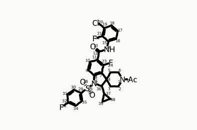 CC(=O)N1CCC2(CC1)c1c(ccc(C(=O)Nc3cccc(Cl)c3F)c1F)N(S(=O)(=O)c1ccc(F)cc1)C2C1CC1